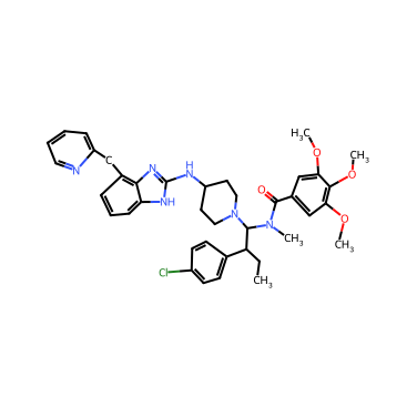 CCC(c1ccc(Cl)cc1)C(N1CCC(Nc2nc3c(Cc4ccccn4)cccc3[nH]2)CC1)N(C)C(=O)c1cc(OC)c(OC)c(OC)c1